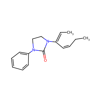 C/C=C(\C=C/CC)N1CCN(c2ccccc2)C1=O